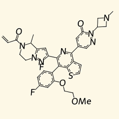 C=CC(=O)N1CCn2nc(-c3nc(-c4cnn(C5CN(C)C5)c(=O)c4)c4ccsc4c3-c3c(F)cc(F)cc3OCCOC)cc2C1C